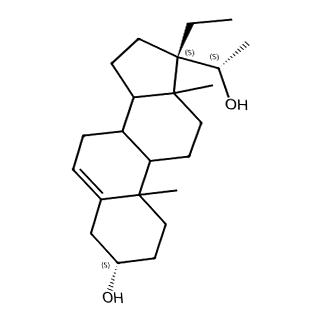 CC[C@]1([C@H](C)O)CCC2C3CC=C4C[C@@H](O)CCC4(C)C3CCC21C